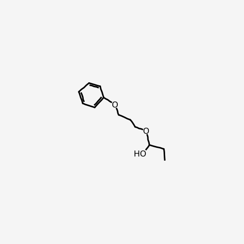 CCC(O)OCCCOc1ccccc1